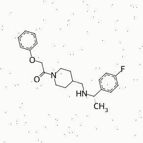 C[C@H](NCC1CCN(C(=O)COc2ccccc2)CC1)c1ccc(F)cc1